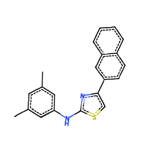 Cc1cc(C)cc(Nc2nc(-c3ccc4ccccc4c3)cs2)c1